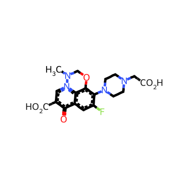 CN1COc2c(N3CCN(CC(=O)O)CC3)c(F)cc3c(=O)c(C(=O)O)cn1c23